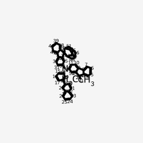 CC1(C)c2ccccc2-c2ccc(N(c3cccc(-c4ccc5ccccc5c4)c3)c3ccc4c(c3)C3(c5ccccc5-4)C4CC5CC(C4)CC3C5)cc21